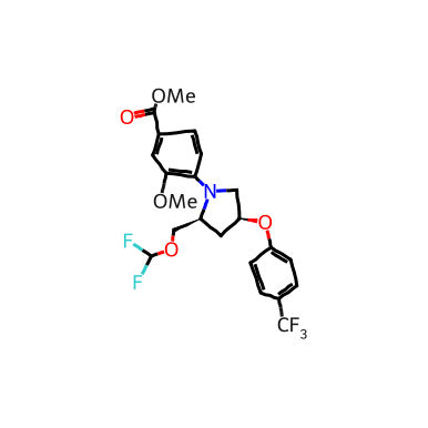 COC(=O)c1ccc(N2C[C@@H](Oc3ccc(C(F)(F)F)cc3)C[C@H]2COC(F)F)c(OC)c1